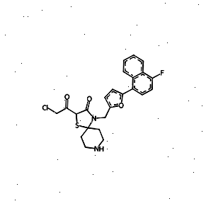 O=C(CCl)C1SC2(CCNCC2)N(Cc2ccc(-c3ccc(F)c4ccccc34)o2)C1=O